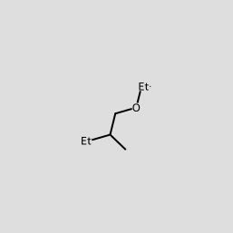 C[CH]OCC(C)CC